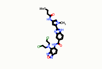 CSCCC(=O)Nc1cc(-c2nc3cc(C(=O)Nc4ccc5nonc5c4N(CCCl)CCCl)ccc3[nH]2)n(C)c1